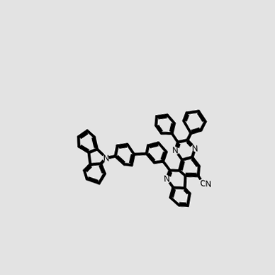 N#Cc1cc2nc(-c3ccccc3)c(-c3ccccc3)nc2c2c(-c3cccc(-c4ccc(-n5c6ccccc6c6ccccc65)cc4)c3)nc3ccccc3c12